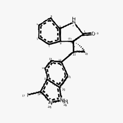 O=C1Nc2ccccc2[C@@]12CC2c1ccc2c(I)n[nH]c2c1